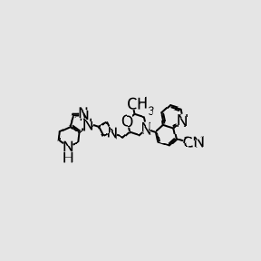 CC1CN(c2ccc(C#N)c3ncccc23)CC(CN2CC(n3ncc4c3CNCC4)C2)O1